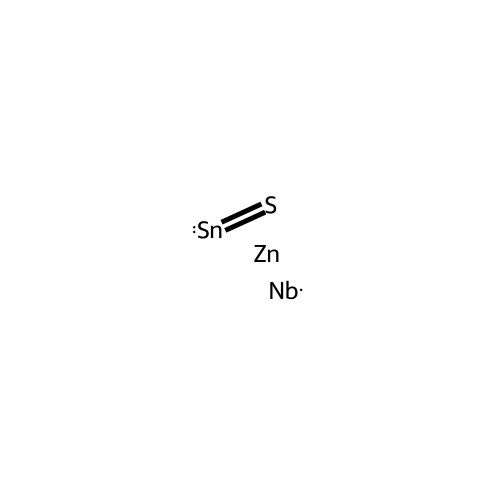 [Nb].[S]=[Sn].[Zn]